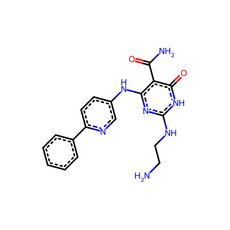 NCCNc1nc(Nc2ccc(-c3ccccc3)nc2)c(C(N)=O)c(=O)[nH]1